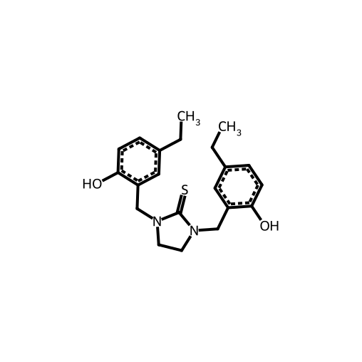 CCc1ccc(O)c(CN2CCN(Cc3cc(CC)ccc3O)C2=S)c1